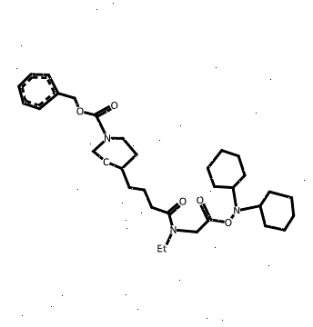 CCN(CC(=O)ON(C1CCCCC1)C1CCCCC1)C(=O)CCCC1CCN(C(=O)OCc2ccccc2)CC1